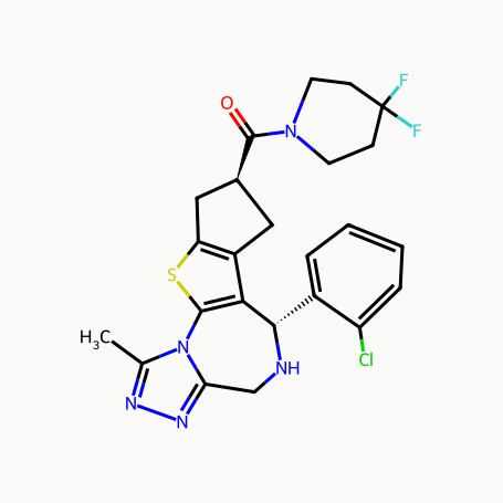 Cc1nnc2n1-c1sc3c(c1[C@H](c1ccccc1Cl)NC2)C[C@H](C(=O)N1CCC(F)(F)CC1)C3